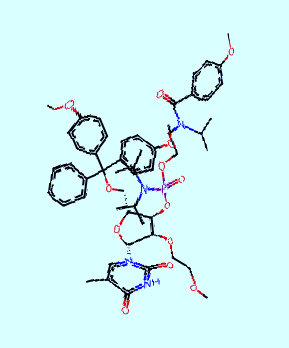 COCCO[C@@H]1[C@H](OP(=O)(OCCN(C(=O)c2ccc(OC)cc2)C(C)C)N(C(C)C)C(C)C)[C@@H](COC(c2ccccc2)(c2ccc(OC)cc2)c2ccc(OC)cc2)O[C@H]1n1cc(C)c(=O)[nH]c1=O